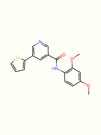 COc1ccc(NC(=O)c2cncc(-c3cccs3)c2)c(OC)c1